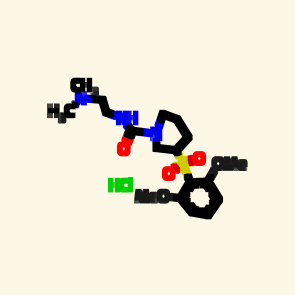 COc1cccc(OC)c1S(=O)(=O)C1CCCN(C(=O)NCCN(C)C)C1.Cl